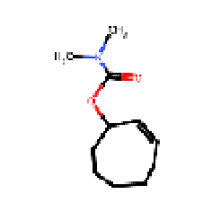 CN(C)C(=O)OC1C=CCCCCC1